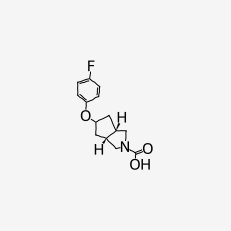 O=C(O)N1C[C@H]2CC(Oc3ccc(F)cc3)C[C@H]2C1